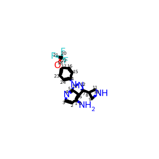 Nc1ccnc2c1c(C1CNC1)nn2-c1ccc(OC(F)(F)F)cc1